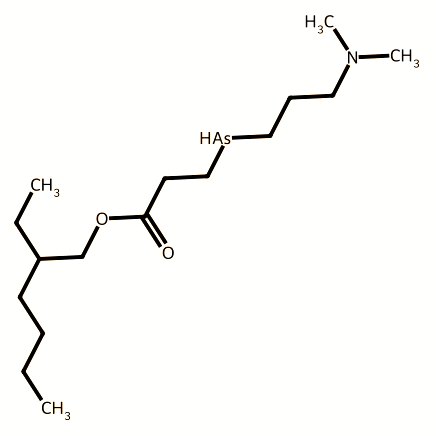 CCCCC(CC)COC(=O)CC[AsH]CCCN(C)C